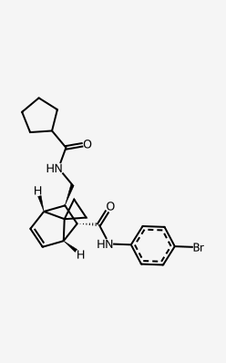 O=C(NC[C@H]1[C@H](C(=O)Nc2ccc(Br)cc2)[C@@H]2C=C[C@H]1C21CC1)C1CCCC1